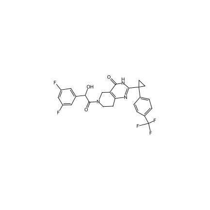 O=C(C(O)c1cc(F)cc(F)c1)N1CCc2nc(C3(c4ccc(C(F)(F)F)cc4)CC3)[nH]c(=O)c2C1